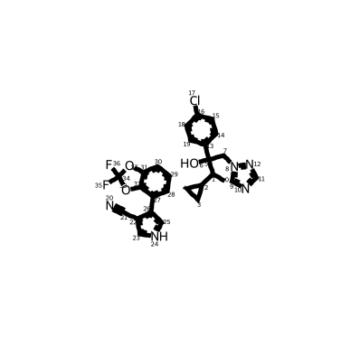 CC(C1CC1)C(O)(Cn1cncn1)c1ccc(Cl)cc1.N#Cc1c[nH]cc1-c1cccc2c1OC(F)(F)O2